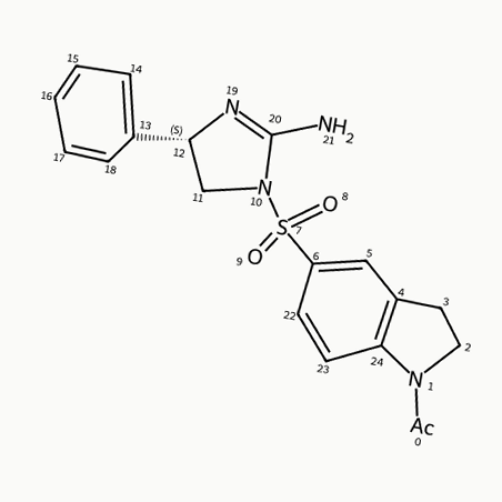 CC(=O)N1CCc2cc(S(=O)(=O)N3C[C@H](c4ccccc4)N=C3N)ccc21